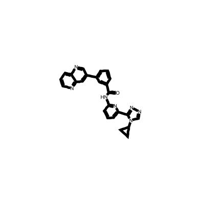 O=C(Nc1cccc(-c2nncn2C2CC2)n1)c1cccc(-c2cnc3cccnc3c2)c1